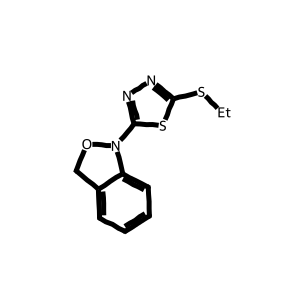 CCSc1nnc(N2OCc3ccccc32)s1